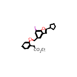 CCOC(=O)Cc1ccccc1OCc1cc(I)c2oc(C3CCCC3)cc2c1